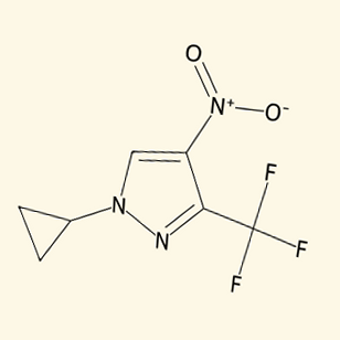 O=[N+]([O-])c1cn(C2CC2)nc1C(F)(F)F